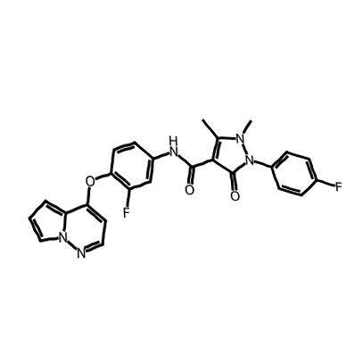 Cc1c(C(=O)Nc2ccc(Oc3ccnn4cccc34)c(F)c2)c(=O)n(-c2ccc(F)cc2)n1C